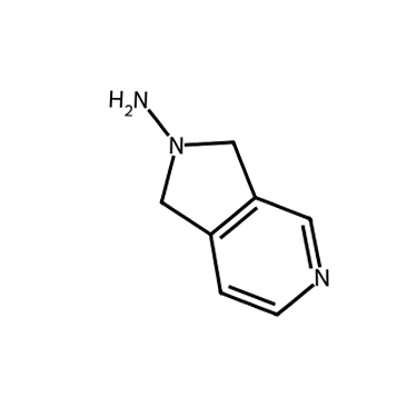 NN1Cc2ccncc2C1